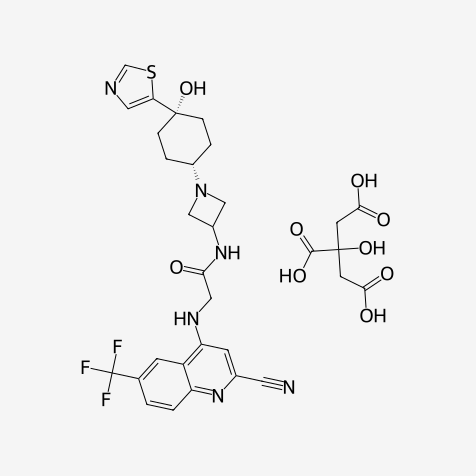 N#Cc1cc(NCC(=O)NC2CN([C@H]3CC[C@](O)(c4cncs4)CC3)C2)c2cc(C(F)(F)F)ccc2n1.O=C(O)CC(O)(CC(=O)O)C(=O)O